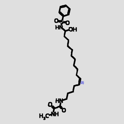 CNC(=O)C(=O)NCCCC/C=C\CCCCCCCCCC(O)NS(=O)(=O)c1ccccc1